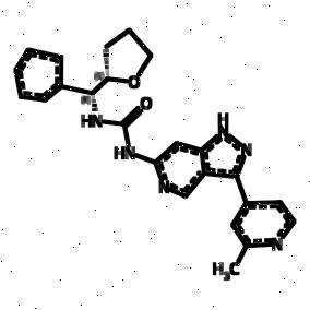 Cc1cc(-c2n[nH]c3cc(NC(=O)N[C@H](c4ccccc4)[C@@H]4CCCO4)ncc23)ccn1